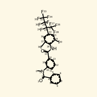 CN(C(=O)c1ccccc1)c1cccc(C(=O)Nc2c(I)cc(C(F)(C(F)(F)F)C(F)(F)C(F)(F)F)cc2I)c1